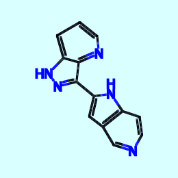 c1cnc2c(-c3cc4cnccc4[nH]3)n[nH]c2c1